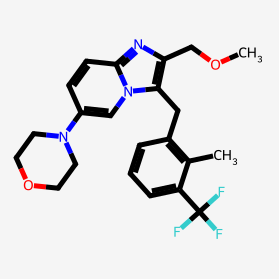 COCc1nc2ccc(N3CCOCC3)cn2c1Cc1cccc(C(F)(F)F)c1C